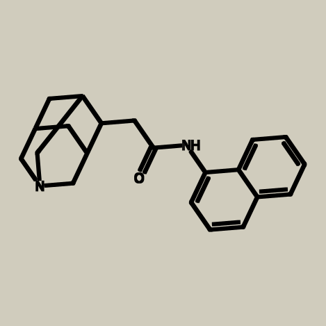 O=C(CC1C2CC3CC1CN(C3)C2)Nc1cccc2ccccc12